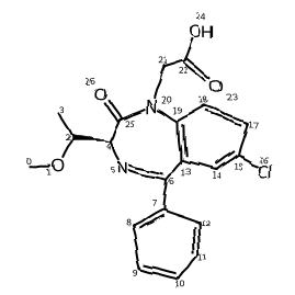 COC(C)[C@@H]1N=C(c2ccccc2)c2cc(Cl)ccc2N(CC(=O)O)C1=O